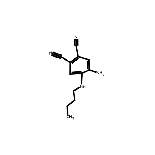 CCCCNc1cc(C#N)c(C#N)cc1N